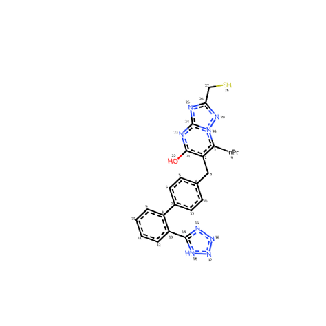 CCCc1c(Cc2ccc(-c3ccccc3-c3nnn[nH]3)cc2)c(O)nc2nc(CS)nn12